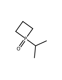 CC(C)P1(=O)CCC1